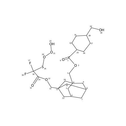 O=C(OCC12CC3CC(C1)CC(COC(=O)C(F)(F)SOOO)(C3)C2)C1CCC(CO)CC1